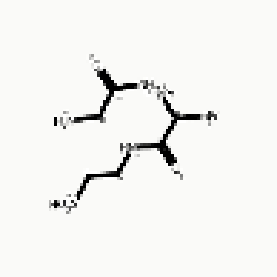 CCCC(CCC)C(=O)NCCS(=O)(=O)O.NCC(N)=O